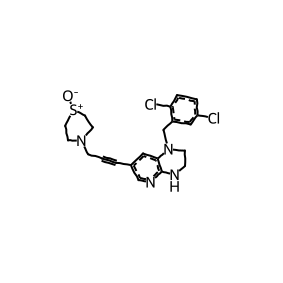 [O-][S+]1CCN(CC#Cc2cnc3c(c2)N(Cc2cc(Cl)ccc2Cl)CCN3)CC1